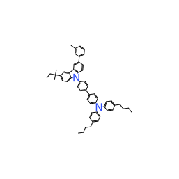 CCCCc1ccc(N(c2ccc(CCCC)cc2)c2ccc(-c3ccc(-n4c5ccc(-c6cccc(C)c6)cc5c5cc(C(C)(C)CC)ccc54)cc3)cc2)cc1